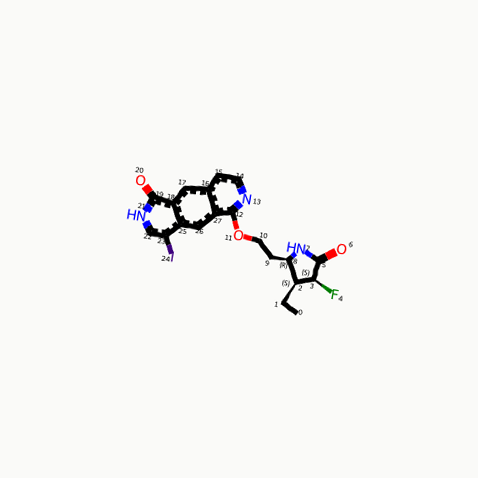 CC[C@@H]1[C@H](F)C(=O)N[C@@H]1CCOc1nccc2cc3c(=O)[nH]cc(I)c3cc12